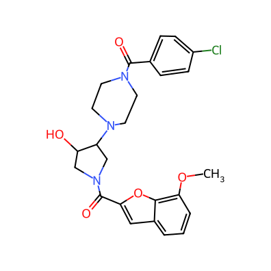 COc1cccc2cc(C(=O)N3CC(O)C(N4CCN(C(=O)c5ccc(Cl)cc5)CC4)C3)oc12